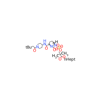 CCCCCCCOC(=O)C(C)(C)COS(=O)(=O)ON1C(=O)N2C[C@H]1CC[C@H]2C(=O)NC1CCN(C(=O)CC(C)(C)C)CC1